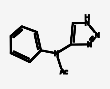 CC(=O)N(c1ccccc1)c1c[nH]nn1